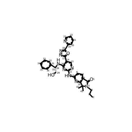 CCCN1C(=O)c2ccc(Nc3ncc(-c4nnc(-c5ccccn5)o4)c(N[C@H](CO)c4ccccc4)n3)nc2C1(C)C